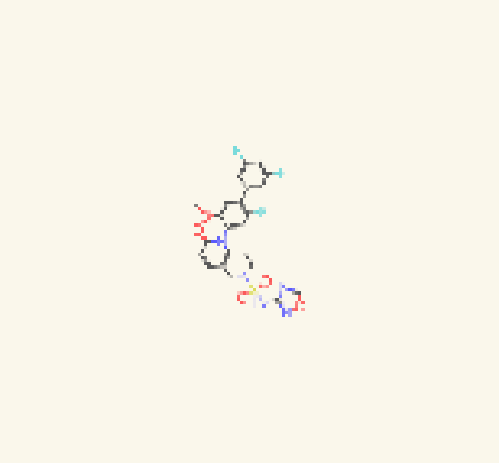 COc1cc(-c2cc(F)cc(F)c2)c(F)cc1-n1c2c(ccc1=O)CN(S(=O)(=O)Nc1ncon1)CC2